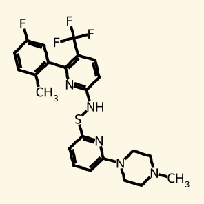 Cc1ccc(F)cc1-c1nc(NSc2cccc(N3CCN(C)CC3)n2)ccc1C(F)(F)F